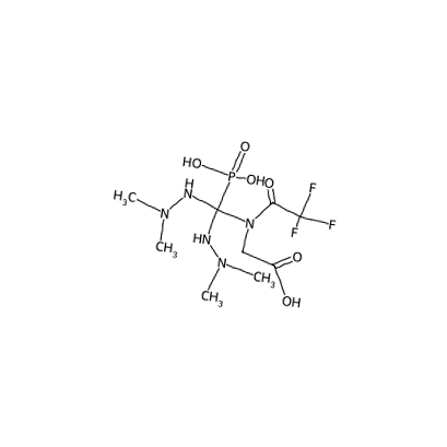 CN(C)NC(NN(C)C)(N(CC(=O)O)C(=O)C(F)(F)F)P(=O)(O)O